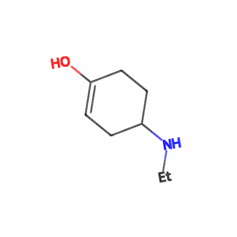 CCNC1CC=C(O)CC1